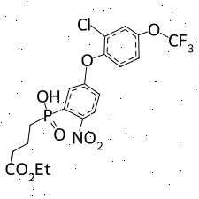 CCOC(=O)CCCP(=O)(O)c1cc(Oc2ccc(OC(F)(F)F)cc2Cl)ccc1[N+](=O)[O-]